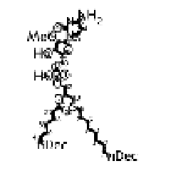 CCCCCCCCCCCCCCCCCCSCC(COP(=O)(O)OC[C@H]1O[C@@H](n2ccc(N)nc2=O)[C@H](OC)[C@@H]1O)OC(=O)CCCCCCCCCCCCCCC